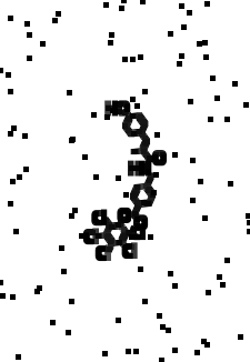 C/C(=C\c1ccc(O)cc1)C(=O)NCc1ccc(C(=O)Oc2c(Cl)c(Cl)c(Cl)c(Cl)c2Cl)cc1